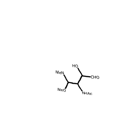 CNC(OC)C(NC(C)=O)C(O)C=O